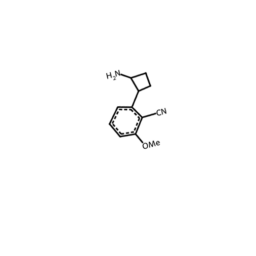 COc1cccc(C2CCC2N)c1C#N